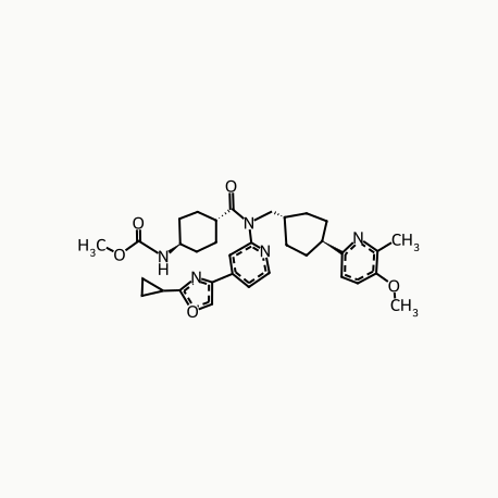 COC(=O)N[C@H]1CC[C@H](C(=O)N(C[C@H]2CC[C@H](c3ccc(OC)c(C)n3)CC2)c2cc(-c3coc(C4CC4)n3)ccn2)CC1